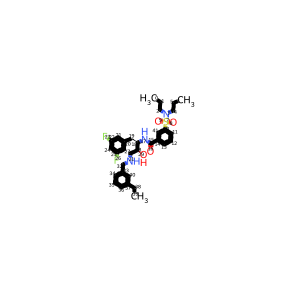 CCCN(CCC)S(=O)(=O)c1cccc(C(=O)N[C@@H](Cc2cc(F)cc(F)c2)[C@H](O)CNCc2cccc(CC)c2)c1